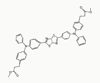 COC(=O)CCc1ccc(N(c2ccccc2)c2ccc(C3=NC4SC(c5ccc(N(c6ccccc6)c6ccc(CCC(=O)OC)cc6)cc5)=NC4S3)cc2)cc1